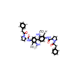 Cc1c(NC(=O)C2CCCN2C(=O)Cc2ccccc2)ccc(-c2ccc(NC(=O)[C@@H]3CCCN3C(=O)Cc3ccccc3)c(C)c2NC(=O)O)c1NC(=O)O